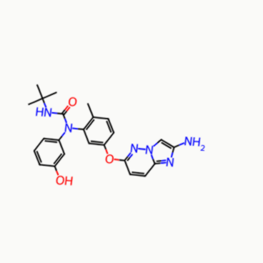 Cc1ccc(Oc2ccc3nc(N)cn3n2)cc1N(C(=O)NC(C)(C)C)c1cccc(O)c1